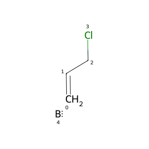 C=CCCl.[B]